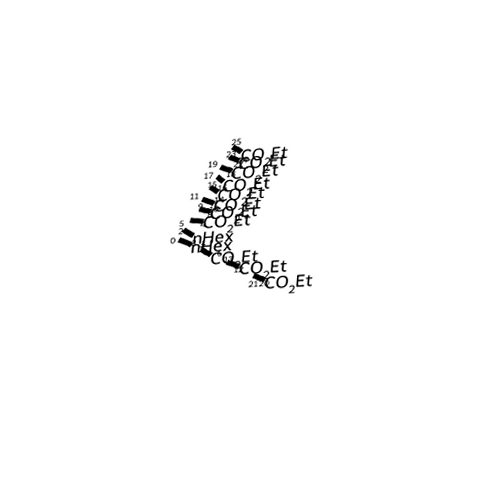 CCCCCCC.CCCCCCC.CCOC(C)=O.CCOC(C)=O.CCOC(C)=O.CCOC(C)=O.CCOC(C)=O.CCOC(C)=O.CCOC(C)=O.CCOC(C)=O.CCOC(C)=O.CCOC(C)=O.CCOC(C)=O